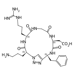 N=C(N)NCCC[C@@H]1NC(=O)[C@H](CCCN)n2cc(nn2)[C@H](Cc2ccccc2)NC(=O)[C@H](CC(=O)O)NC(=O)CNC1=O